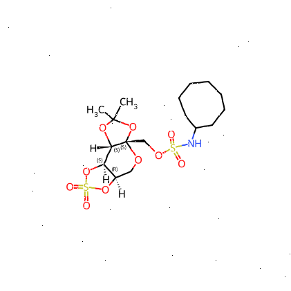 CC1(C)O[C@H]2[C@@H]3OS(=O)(=O)O[C@@H]3CO[C@@]2(COS(=O)(=O)NC2CCCCCCC2)O1